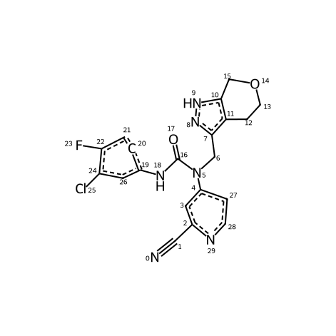 N#Cc1cc(N(Cc2n[nH]c3c2CCOC3)C(=O)Nc2ccc(F)c(Cl)c2)ccn1